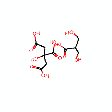 O=C(O)C(CO)CO.O=C(O)CC(O)(CC(=O)O)C(=O)O